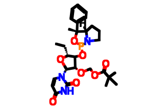 CC[C@H]1O[C@@H](n2ccc(=O)[nH]c2=O)[C@@H](OCOC(=O)C(C)(C)C)C1O[P@@]1O[C@](C)(c2ccccc2)[C@@H]2CCCN21